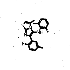 Cc1ccc(F)c(-c2nc3scc(C)n3c2Nc2c(C)cccc2C)c1